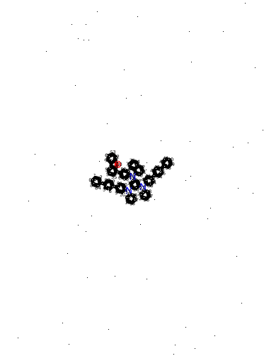 c1ccc(-c2ccc(-c3ccc(N(c4ccccc4)c4cc(N(c5ccccc5)c5ccc(-c6ccc(-c7ccccc7)cc6)cc5)cc(N(c5ccc(-c6cccc7c6oc6ccccc67)cc5)c5cccc6ccccc56)c4)cc3)cc2)cc1